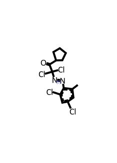 Cc1cc(Cl)cc(Cl)c1/N=N/C(Cl)(Cl)C(=O)C1CCCC1